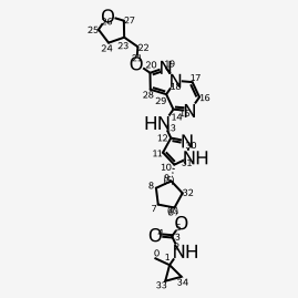 CC1(NC(=O)O[C@@H]2CC[C@H](c3cc(Nc4nccn5nc(OCC6CCOC6)cc45)n[nH]3)C2)CC1